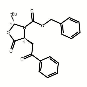 CC(C)(C)[C@H]1OC(=O)[C@H](CC(=O)c2ccccc2)N1C(=O)OCc1ccccc1